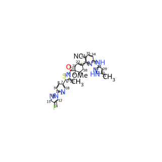 COC1(C(=O)N2SC(c3ccc(-n4cc(F)cn4)nc3)C2C)CC=C(c2nc(Nc3cc(C)[nH]n3)ccc2C#N)CC1